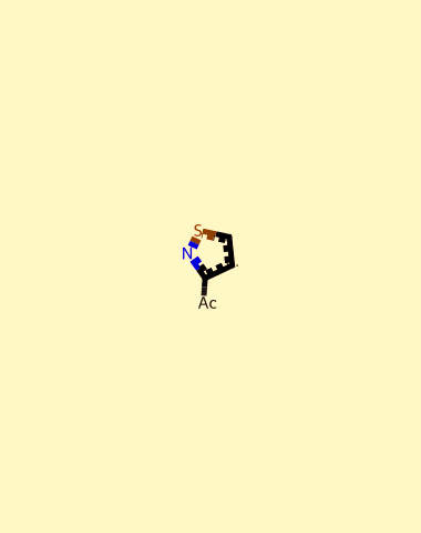 CC(=O)c1[c]csn1